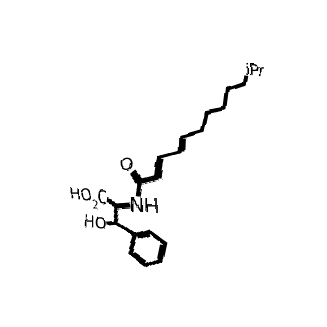 CC(C)CCCCC/C=C/C=C/C(=O)NC(C(=O)O)C(O)c1ccccc1